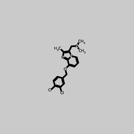 Cc1nc2c(OCc3ccc(Cl)c(Cl)c3)cccn2c1CN(C)C